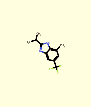 Cc1cc(C(F)(F)F)cc2nc(C(C)C)[nH]c12